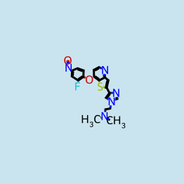 CN(C)CCn1cnc(-c2cc3nccc(Oc4ccc(N=O)cc4F)c3s2)c1